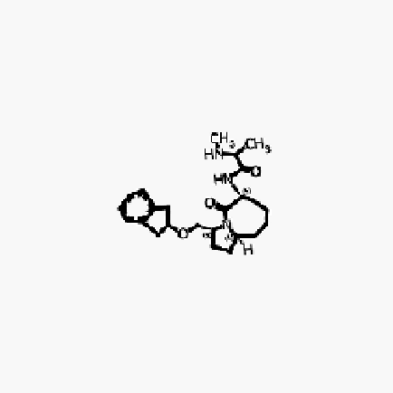 CNC(C)C(=O)N[C@H]1CCCC[C@H]2CC[C@@H](COC3Cc4ccccc4C3)N2C1=O